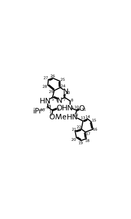 COC(=O)[C@@H](Nc1nc(CNC(=O)Nc2cccc3ccccc23)nc2ccccc12)C(C)C